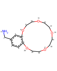 NCc1ccc2c(c1)OCCOCCOCCOCCO2